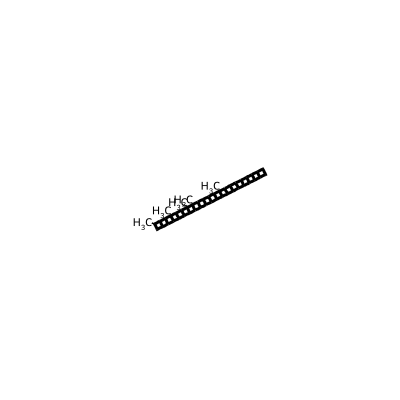 C[C@@H]1CC2C3C4C5C6C(C5[C@@]4(C)C3C21)[C@@]1(C)C6C2C3C4C5C(C4C3[C@]21C)C1C5C2C3C4C5C6C7C8C9CCC9C8C7C6C5C4C3[C@@]12C